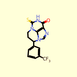 O=c1[nH]c(=S)n2c3c1ncn3C(c1cccc(C(F)(F)F)c1)CC2